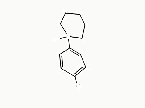 CCc1ccc([N+]2([O-])CCCCC2)cc1